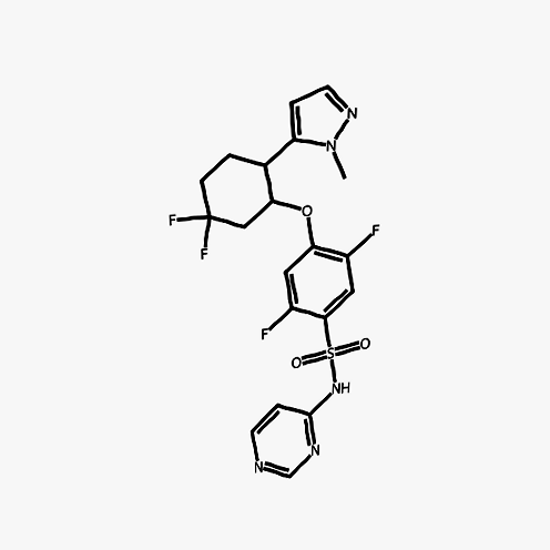 Cn1nccc1C1CCC(F)(F)CC1Oc1cc(F)c(S(=O)(=O)Nc2ccncn2)cc1F